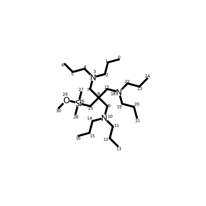 CCCN(CCC)CC(CN(CCC)CCC)(CN(CCC)CCC)C[Si](C)(C)OC